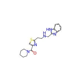 O=C(c1csc(CCNCc2nc3ccccc3[nH]2)n1)N1CCCCC1